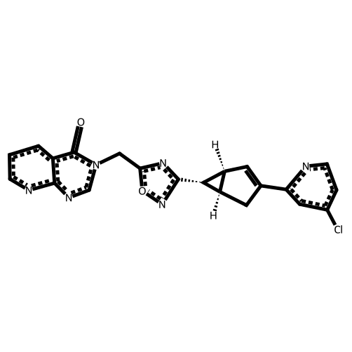 O=c1c2cccnc2ncn1Cc1nc([C@@H]2[C@H]3C=C(c4cc(Cl)ccn4)C[C@H]32)no1